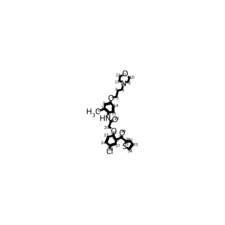 Cc1cc(OCCCN2CCOCC2)ccc1NC(=O)COc1ccc(Cl)cc1C(=O)c1cccs1